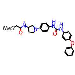 CSCC(=O)N(C)C1CCN(c2ccc(NC(=O)Nc3ccc(Oc4ccccc4)cc3)cc2)C1